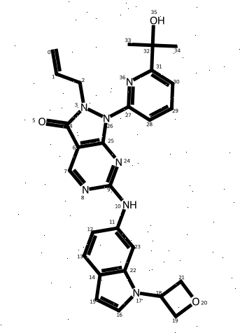 C=CCn1c(=O)c2cnc(Nc3ccc4ccn(C5COC5)c4c3)nc2n1-c1cccc(C(C)(C)O)n1